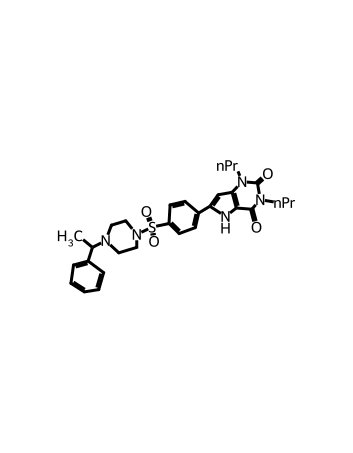 CCCn1c(=O)c2[nH]c(-c3ccc(S(=O)(=O)N4CCN(C(C)c5ccccc5)CC4)cc3)cc2n(CCC)c1=O